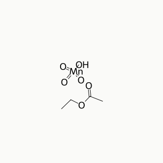 CCOC(C)=O.[O]=[Mn](=[O])(=[O])[OH]